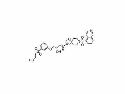 O=S(=O)(CCO)c1cccc(OCC(O)CN[C@H]2COC3(CCN(S(=O)(=O)c4cccc5cnccc45)CC3)C2)c1